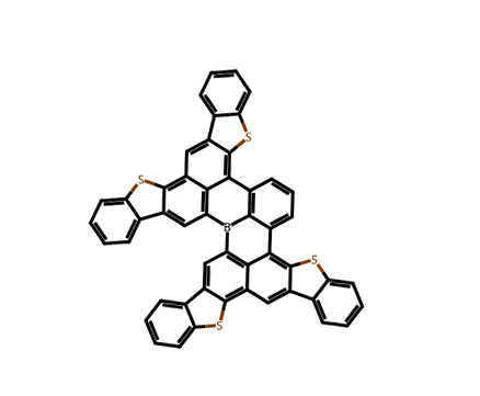 c1cc2c3c(c1)-c1c4sc5ccccc5c4cc4c1c(cc1c5ccccc5sc41)B3c1cc3c4ccccc4sc3c3cc4c(sc5ccccc54)c-2c13